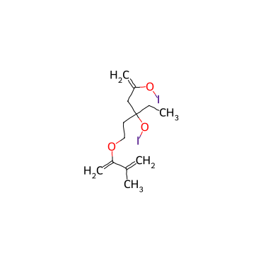 C=C(CC(CC)(CCOC(=C)C(=C)C)OI)OI